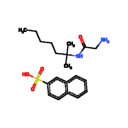 CCCCCC(C)(C)NC(=O)CN.O=S(=O)(O)c1ccc2ccccc2c1